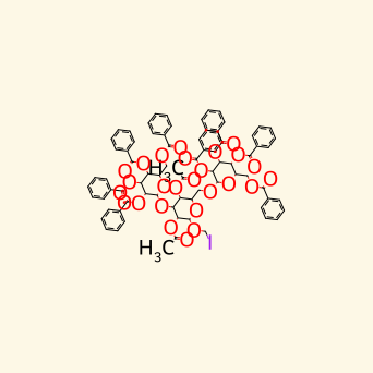 CC(=O)OC1C(COC2OC(COC(=O)c3ccccc3)C(OC(=O)c3ccccc3)C(OC(=O)c3ccccc3)C2OC(=O)c2ccccc2)OC(OCI)C(OC(C)=O)C1OC1OC(COC(=O)c2ccccc2)C(OC(=O)c2ccccc2)C(OC(=O)c2ccccc2)C1OC(=O)c1ccccc1